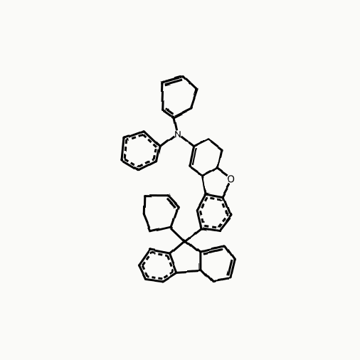 C1=CCCC(N(C2=CC3c4cc(C5(C6C=CCCC6)C6=CC=CCC6c6ccccc65)ccc4OC3CC2)c2ccccc2)=C1